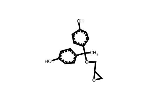 CC(OCC1CO1)(c1ccc(O)cc1)c1ccc(O)cc1